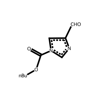 CCCCOC(=O)n1cnc(C=O)c1